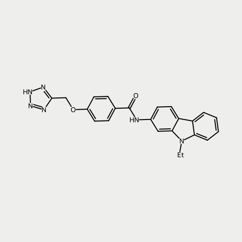 CCn1c2ccccc2c2ccc(NC(=O)c3ccc(OCc4nn[nH]n4)cc3)cc21